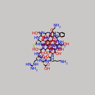 CSCC[C@H](NC(=O)[C@H](CO)NC(=O)CNC(=O)[C@H](Cc1ccccc1)NC(=O)[C@H](C)NC(=O)[C@@H](N)CO)C(=O)N[C@@H](CCCCN)C(=O)N[C@H](C(=O)N[C@@H](CO)C(=O)N[C@@H](CCCNC(=N)N)C(=O)N[C@@H](CC(=O)O)C(=O)N[C@@H](CCCCN)C(=O)N[C@@H](CC(=O)O)C(=O)NCC(=O)N[C@@H](CO)C(=O)N[C@@H](CCCCN)C(=O)N[C@H](C(=O)N[C@H](C(=O)N[C@H](C(=O)N[C@H](C(=O)O)C(C)C)[C@@H](C)O)[C@@H](C)O)C(C)C)C(C)C